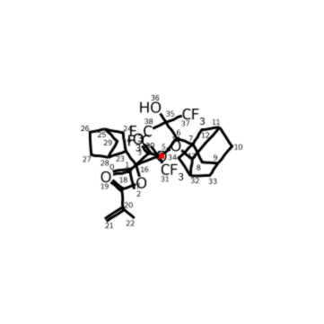 C=C(C)C(=O)OC(C12CC3CC(C1)C(OC(C(OC(=O)C(=C)C)C1CC4CCC1C4)(C(F)(F)F)C(F)(F)F)C(C3)C2)C(O)(C(F)(F)F)C(F)(F)F